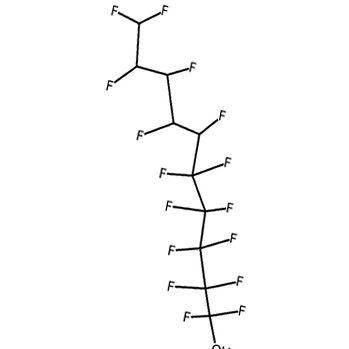 OC(F)(F)C(F)(F)C(F)(F)C(F)(F)C(F)(F)C(F)C(F)C(F)C(F)C(F)F